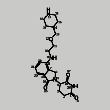 O=C1CCC(N2Cc3c(NCCOCC4CCNCC4)cccc3C2=O)C(=O)N1